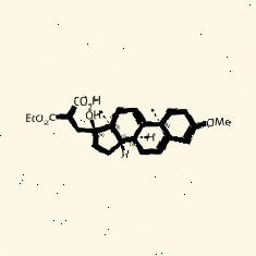 CCOC(=O)C(C[C@@]1(O)CC[C@H]2[C@@H]3CC=C4C=C(OC)CC[C@]4(C)C3=CC[C@@]21C)C(=O)O